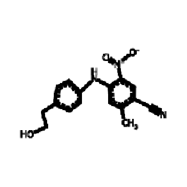 Cc1cc(Nc2ccc(CCO)cc2)c([N+](=O)[O-])cc1C#N